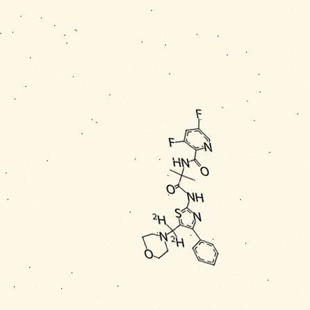 [2H]C([2H])(c1sc(NC(=O)C(C)(C)NC(=O)c2ncc(F)cc2F)nc1-c1ccccc1)N1CCOCC1